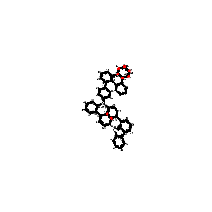 c1ccc(-c2ccccc2-c2c(-c3ccccc3)cccc2-c2ccc(N(c3ccc(-c4cccc5c4oc4ccccc45)cc3)c3ccccc3-c3ccccc3)cc2)cc1